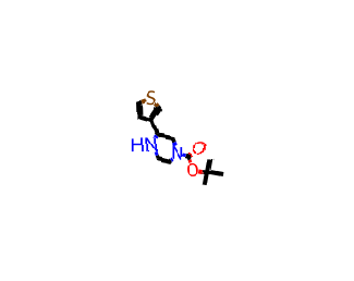 CC(C)(C)OC(=O)N1CCNC(c2ccsc2)C1